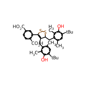 Cc1cc(C(C)(C)C)c(O)c(C)c1CC1=C(c2cc(C(=O)O)ccc2C(=O)O)SSC1Cc1c(C)cc(C(C)(C)C)c(O)c1C